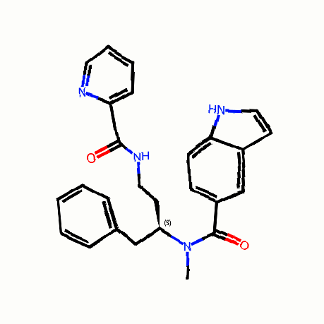 CN(C(=O)c1ccc2[nH]ccc2c1)[C@H](CCNC(=O)c1ccccn1)Cc1ccccc1